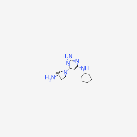 Nc1nc(NC2CCCCC2)cc(N2CC[C@@H](N)C2)n1